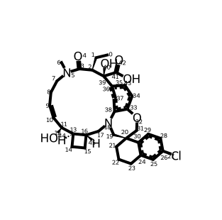 CC[C@@H]1C(=O)N(C)CCC=C[C@H](O)[C@@H]2CC[C@H]2CN2C[C@@]3(CCCc4cc(Cl)ccc43)COc3ccc(cc32)[C@@]1(O)C(=O)O